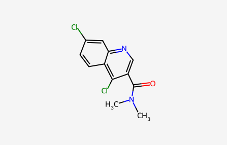 CN(C)C(=O)c1cnc2cc(Cl)ccc2c1Cl